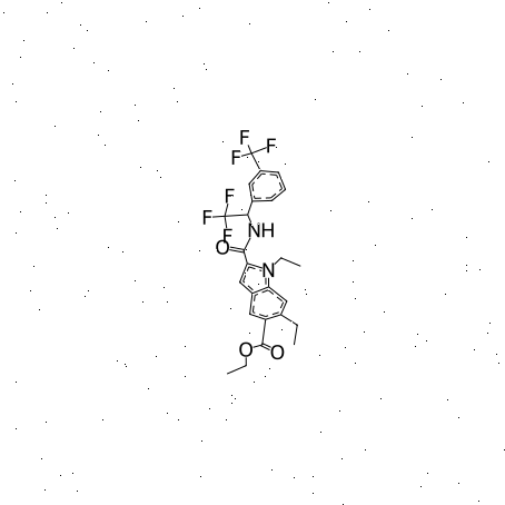 CCOC(=O)c1cc2cc(C(=O)NC(c3cccc(C(F)(F)F)c3)C(F)(F)F)n(CC)c2cc1CC